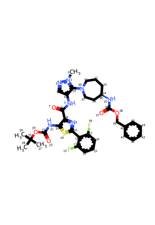 Cn1ncc(NC(=O)c2nc(-c3c(F)cccc3F)sc2NC(=O)OC(C)(C)C)c1N1CCC[C@@H](NC(=O)OCc2ccccc2)CC1